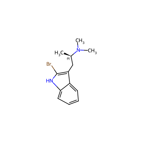 C[C@H](Cc1c(Br)[nH]c2ccccc12)N(C)C